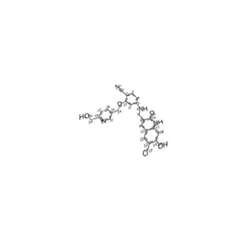 N#Cc1ccc(NCc2cc3cc(Cl)c(O)cc3[nH]c2=O)cc1OCc1ccc(CO)nc1